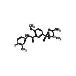 COc1ccc(S(=O)(=O)N[C@@H](C)C(N)=O)cc1C(=O)Nc1ccc(F)c(C)c1